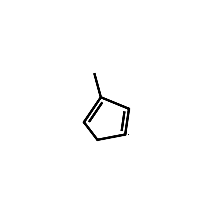 CC1=CC[C]=C1